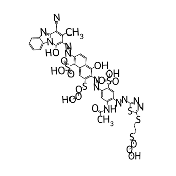 CC(=O)Nc1cc(N=Nc2c(SOOO)cc3c(S(=O)(=O)O)c(N=Nc4c(C)c(C#N)c5nc6ccccc6n5c4O)ccc3c2O)c(S(=O)(=O)O)cc1N=Nc1nnc(SCCSOOO)s1